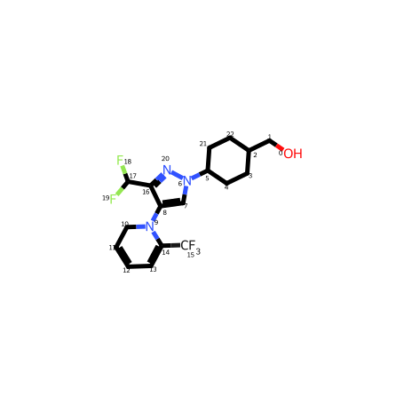 OCC1CCC(n2cc(N3CC=CC=C3C(F)(F)F)c(C(F)F)n2)CC1